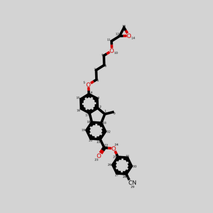 CC1c2cc(OCCCCOCC3CO3)ccc2-c2ccc(C(=O)Oc3ccc(C#N)cc3)cc21